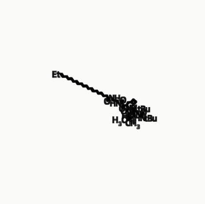 CCC=CCC=CCC=CCC=CCC=CCC=CCCC(=O)NCCNC(=O)C(=O)C(CC1CCC1)NC(=O)[C@@H]1[C@H]2[C@@H](CN1C(=O)C(NC(=O)NC(C)(C)C)C(C)(C)C)C2(C)C